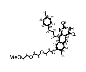 COCCOCCOCCOc1cc2c(cc1C)nc1c(=O)[nH]c(=O)nc-1n2CCCc1ccc(C)cc1